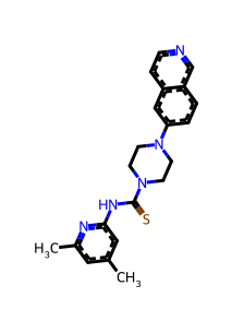 Cc1cc(C)nc(NC(=S)N2CCN(c3ccc4cnccc4c3)CC2)c1